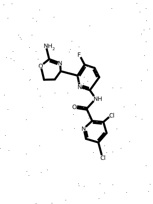 NC1=NC(c2nc(NC(=O)c3ncc(Cl)cc3Cl)ccc2F)CCO1